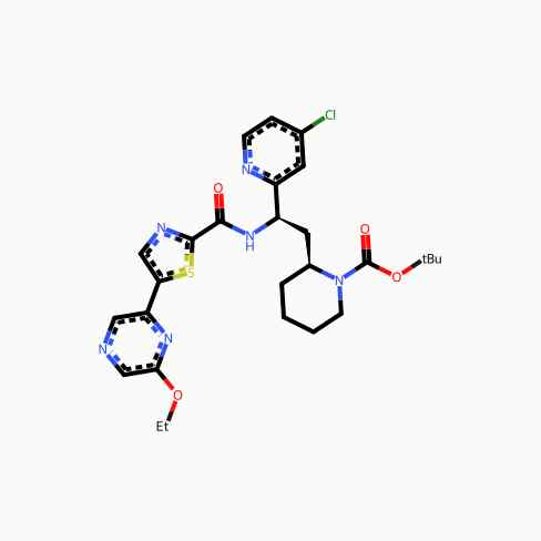 CCOc1cncc(-c2cnc(C(=O)N[C@H](C[C@@H]3CCCCN3C(=O)OC(C)(C)C)c3cc(Cl)ccn3)s2)n1